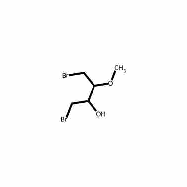 COC(CBr)C(O)CBr